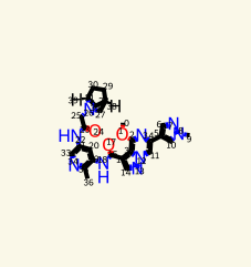 COc1nc(-c2cnn(C)c2)cn2ncc(C(=O)Nc3cc(NC(=O)CN4C[C@H]5CC[C@@H]4C5)cnc3C)c12